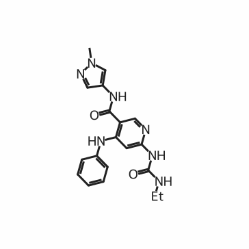 CCNC(=O)Nc1cc(Nc2ccccc2)c(C(=O)Nc2cnn(C)c2)cn1